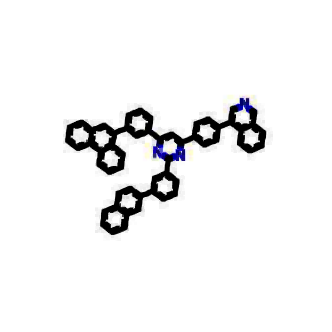 c1cc(-c2ccc3ccccc3c2)cc(-c2nc(-c3ccc(-c4cncc5ccccc45)cc3)cc(-c3cccc(-c4cc5ccccc5c5ccccc45)c3)n2)c1